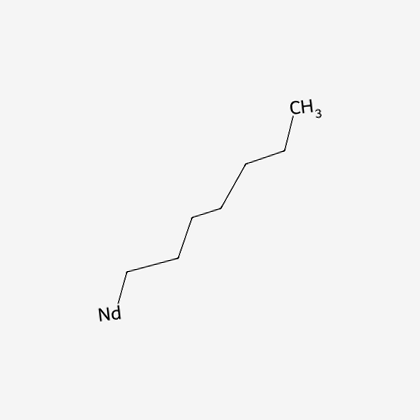 CCCCCC[CH2][Nd]